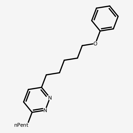 CCCCCc1ccc(CCCCCOc2ccccc2)nn1